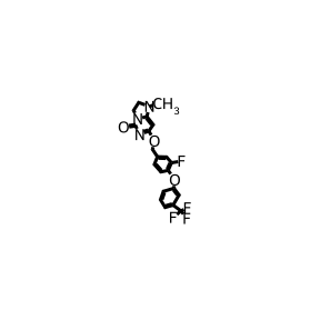 CN1CCn2c1cc(OCc1ccc(Oc3cccc(C(F)(F)F)c3)c(F)c1)nc2=O